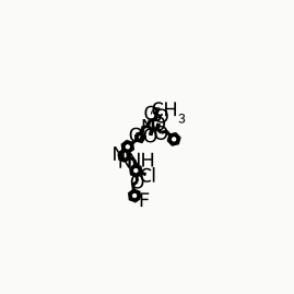 CS(=O)(=O)CCN(Cc1ccc(-c2ccc3ncnc(Nc4ccc(OCc5cccc(F)c5)c(Cl)c4)c3c2)o1)C(=O)C(=O)OCc1ccccc1